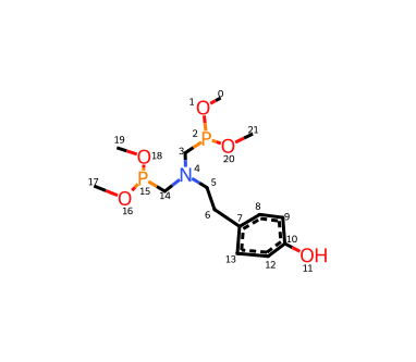 COP(CN(CCc1ccc(O)cc1)CP(OC)OC)OC